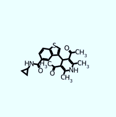 CC(=O)C1=C(C)NC(C)=C(C(C)=O)C1c1csc2ccc(C(=O)NC3CC3)cc12